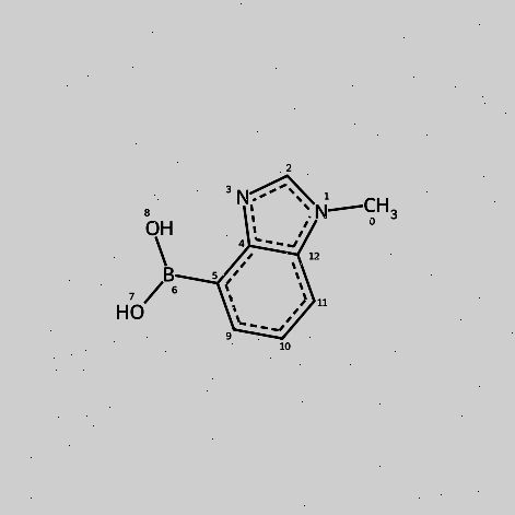 Cn1cnc2c(B(O)O)cccc21